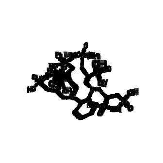 O=P(O)(O)CC(CN(CC(CP(=O)(O)O)P(=O)(O)O)C1CCCCC1N(CC(CP(=O)(O)O)P(=O)(O)O)CC(CP(=O)(O)O)P(=O)(O)O)P(=O)(O)O